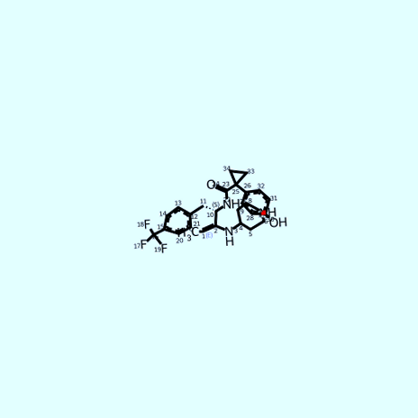 C/C=C(/NC1CCNCC1)[C@H](Cc1ccc(C(F)(F)F)cc1)NC(=O)C1(c2ccc(O)cc2)CC1